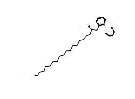 CCCCCCCCCCCCCCCCCCC(Cc1ccccc1-[n+]1ccccc1)C(=O)O